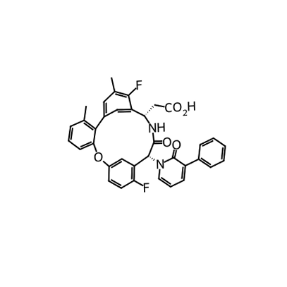 Cc1cc2cc(c1F)[C@H](CC(=O)O)NC(=O)[C@H](n1cccc(-c3ccccc3)c1=O)c1cc(ccc1F)Oc1cccc(C)c1-2